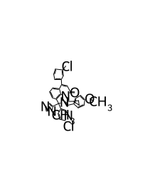 COc1ccc(C=NC(c2ccc(Cl)nc2)(c2cccc3c(-c4cccc(Cl)c4)cc(=O)n(CC4CC4)c23)c2cncn2C)cc1